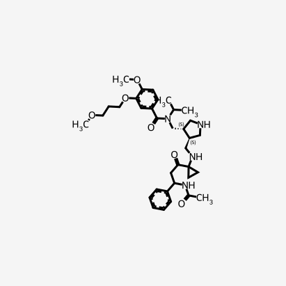 COCCCOc1cc(C(=O)N(C[C@@H]2CNC[C@H]2CNC2(C(=O)CC(NC(C)=O)c3ccccc3)CC2)C(C)C)ccc1OC